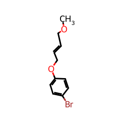 COCC=CCOc1ccc(Br)cc1